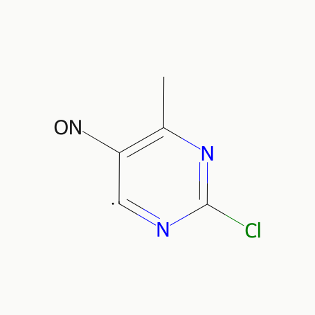 Cc1nc(Cl)n[c]c1N=O